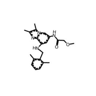 COCC(=O)Nc1cc(NCc2c(C)cccc2C)c2nc(C)c(C)n2c1